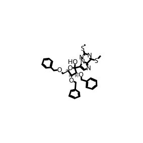 CSc1nc(SC)c2ncc(C3(O)O[C@H](COCc4ccccc4)[C@@H](OCc4ccccc4)[C@H]3OCc3ccccc3)n2n1